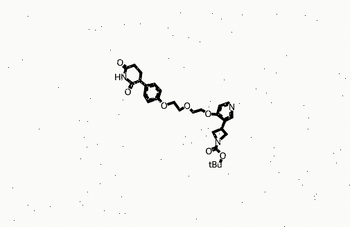 CC(C)(C)OC(=O)N1CC(c2cnccc2OCCOCCOc2ccc(C3CCC(=O)NC3=O)cc2)C1